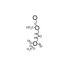 CCOc1cc(S(C)(=O)=O)c(OCC)cc1CNC(=O)NCc1ccc(OCc2ccccc2)c(C(=O)O)c1